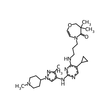 Cc1nn(C2CCN(C)CC2)cc1Nc1ncc(C2CC2)c(NCCCN2C=COCC(C)(C)C2=O)n1